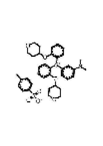 CN(C)c1cccc([S+](c2ccccc2OC2CCOCC2)c2ccccc2OC2CCOCC2)c1.Cc1ccc(S(=O)(=O)[O-])cc1